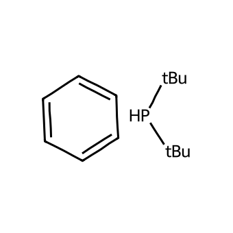 CC(C)(C)PC(C)(C)C.c1ccccc1